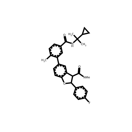 CNC(=O)C1c2cc(-c3cc(C(=O)NC(C)(C)C4CC4)ccc3C)ccc2OC1c1ccc(F)cc1